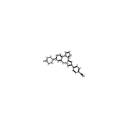 N#Cc1ccc(-c2cc3n(c2)Cc2cc(N4CCNCC4)ncc2-n2ccnc2-3)cc1